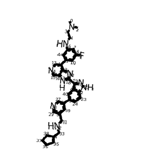 CN(C)CCNc1cc(F)cc(-c2cncc3[nH]c(-c4n[nH]c5ccc(-c6cncc(CNCC7CCCC7)c6)cc45)nc23)c1